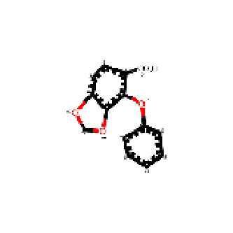 O=C(O)c1ccc2c(c1Oc1ccccc1)OCO2